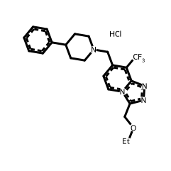 CCOCc1nnc2c(C(F)(F)F)c(CN3CCC(c4ccccc4)CC3)ccn12.Cl